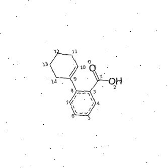 O=C(O)c1ccccc1C1=CCCCC1